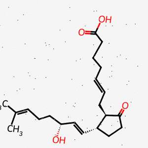 CC(C)=CCC[C@@H](O)C=C[C@H]1CCC(=O)[C@@H]1CC=CCCCC(=O)O